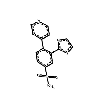 NS(=O)(=O)c1ccc(-c2ccncc2)c(-c2nccs2)c1